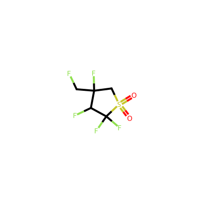 O=S1(=O)CC(F)(CF)C(F)C1(F)F